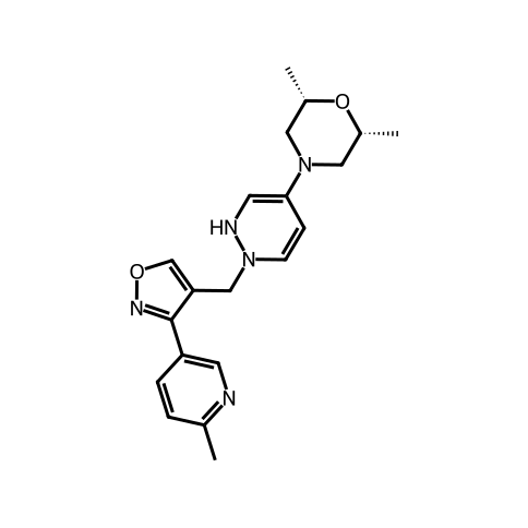 Cc1ccc(-c2nocc2CN2C=CC(N3C[C@@H](C)O[C@@H](C)C3)=CN2)cn1